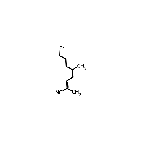 CC(C#N)=CCC(C)CCCC(C)C